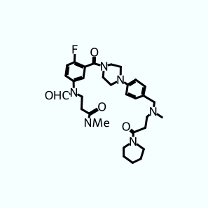 CNC(=O)CCN(C=O)c1ccc(F)c(C(=O)N2CCN(c3ccc(CN(C)CCC(=O)N4CCCCC4)cc3)CC2)c1